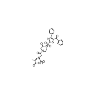 Cc1cn(CC(=O)N2CCN(S(=O)(=O)c3nc(-c4ccccc4)c(C(=O)c4ccccc4)s3)C(=O)C2)c(=O)[nH]c1=O